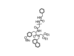 CCOC(CN(Cc1cccc2ccccc12)C(=O)C(Cc1ccc(OC(C)(C)C)cc1)NC(=O)CC(C)(C)NC(=O)NCc1ccccc1)OCC